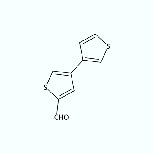 O=Cc1cc(-c2ccsc2)cs1